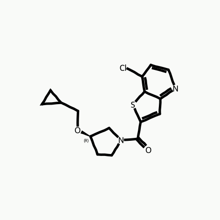 O=C(c1cc2nccc(Cl)c2s1)N1CC[C@@H](OCC2CC2)C1